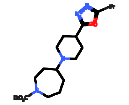 CCOC(=O)N1CCCC(N2CCC(c3nnc(C(C)C)o3)CC2)CC1